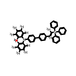 [2H]/C(=C(/[2H])[Si](c1ccccc1)(c1ccccc1)c1ccccc1)c1ccc(-c2ccc(N(c3c([2H])c([2H])c([2H])c([2H])c3[2H])c3c([2H])c([2H])c([2H])c([2H])c3[2H])cc2)cc1